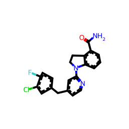 NC(=O)c1cccc2c1CCN2c1cc(Cc2ccc(F)c(Cl)c2)ccn1